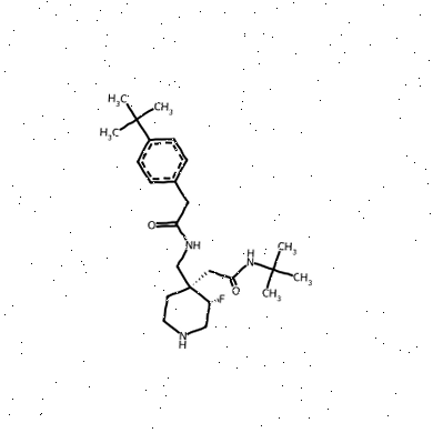 CC(C)(C)NC(=O)C[C@@]1(CNC(=O)Cc2ccc(C(C)(C)C)cc2)CCNC[C@H]1F